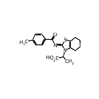 Cc1ccc(C(=O)N=c2sc3c(n2C(C)C(=O)O)CCCC3)cc1